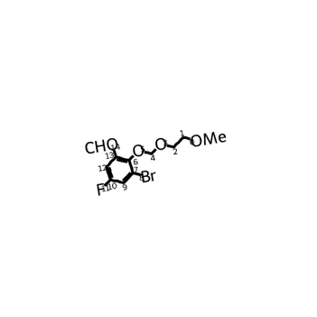 COCCOCOc1c(Br)cc(F)cc1C=O